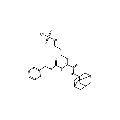 NS(=O)(=O)NCCCC[C@H](NC(=O)OCc1ccccc1)C(=O)NC12CC3CC(CC(C3)C1)C2